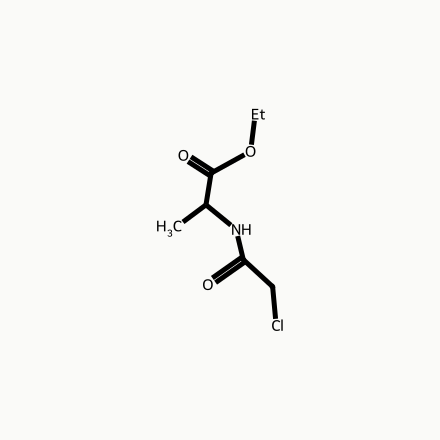 CCOC(=O)C(C)NC(=O)CCl